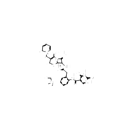 C[N+](C)(C)CC(=O)[O-].O=C(Cc1ccccc1NC(=O)c1c[nH]c(=O)[nH]c1=O)NC1C(=O)N2C(C(=O)O)=C(CN3C=CC=CC3)CS[C@H]12